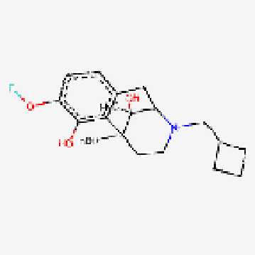 CCCCC12CCN(CC3CCC3)C(Cc3ccc(OF)c(O)c31)C2(C)O